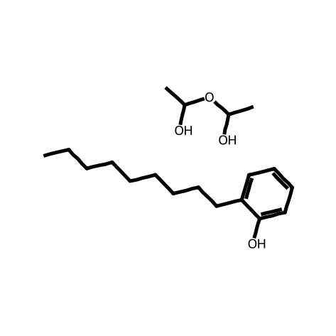 CC(O)OC(C)O.CCCCCCCCCc1ccccc1O